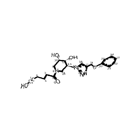 O=C(CCCCCO)N1C[C@H](O)[C@H](O)[C@@H](n2cc(COc3ccccc3)nn2)C1